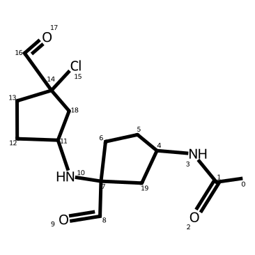 CC(=O)NC1CCC(C=O)(NC2CCC(Cl)(C=O)C2)C1